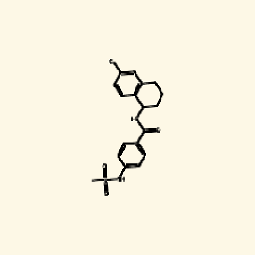 CS(=O)(=O)Nc1ccc(C(=O)NC2CCCc3cc(Cl)ccc32)cc1